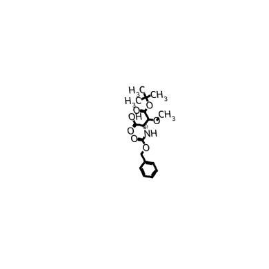 COC(C(=O)OC(C)(C)C)[C@H](NC(=O)OCc1ccccc1)C(=O)O